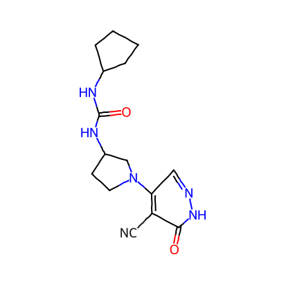 N#Cc1c(N2CCC(NC(=O)NC3CCCC3)C2)cn[nH]c1=O